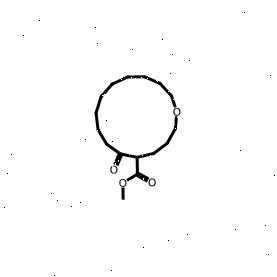 COC(=O)C1CCCOCCCCCCCCCC1=O